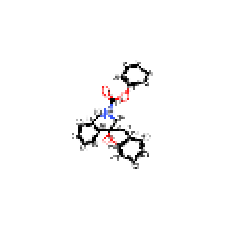 O=C(Oc1ccccc1)N1Cc2ccccc2C2(Cc3ccccc3O2)C1